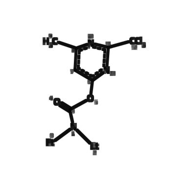 CCN(CC)C(=O)Oc1cc(C)nc(C(Cl)(Cl)Cl)n1